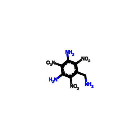 NCc1c([N+](=O)[O-])c(N)c([N+](=O)[O-])c(N)c1[N+](=O)[O-]